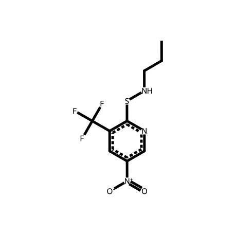 CCCNSc1ncc([N+](=O)[O-])cc1C(F)(F)F